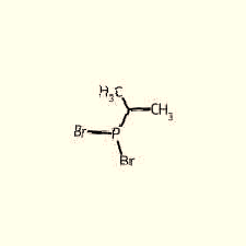 CC(C)P(Br)Br